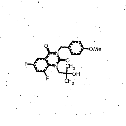 COc1ccc(Cn2c(=O)c3cc(F)cc(F)c3n(CC(C)(C)O)c2=O)cc1